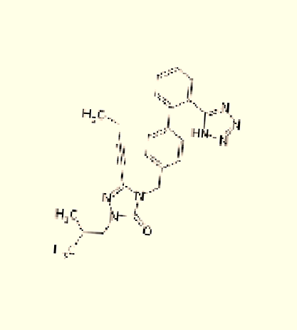 CCC#Cc1nn(CC(C)C)c(=O)n1Cc1ccc(-c2ccccc2-c2nnn[nH]2)cc1